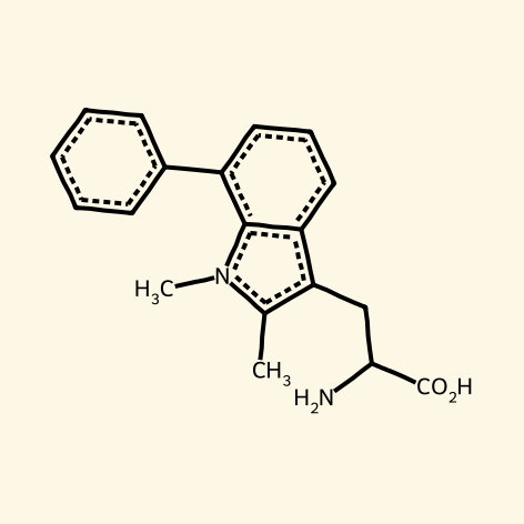 Cc1c(CC(N)C(=O)O)c2cccc(-c3ccccc3)c2n1C